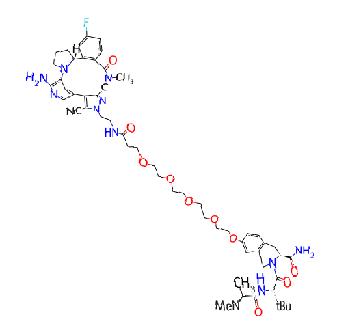 CN[C@@H](C)C(=O)N[C@H](C(=O)N1Cc2cc(OCCOCCOCCOCCOCCC(=O)NCCn3nc4c(c3C#N)-c3cnc(N)c(c3)N3CCC[C@@H]3c3cc(F)ccc3C(=O)N(C)C4)ccc2C[C@H]1C(N)=O)C(C)(C)C